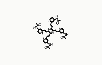 CC(=O)Nc1ccnc(C=Cc2nc(C=Cc3cc(NC(C)=O)ccn3)c(C=Cc3cc(NC(C)=O)ccn3)nc2C=Cc2cc(NC(C)=O)ccn2)c1